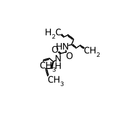 C=C/C=C\C(=C/C=C)NC(=O)C(=O)NC(/C=C\C)=C/C=C\C